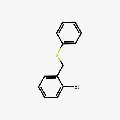 CCc1ccccc1CSc1ccccc1